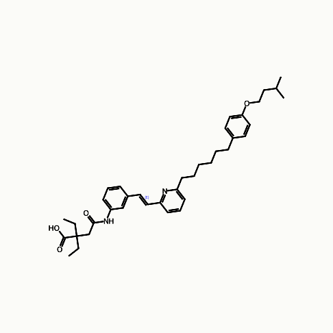 CCC(CC)(CC(=O)Nc1cccc(/C=C/c2cccc(CCCCCCc3ccc(OCCC(C)C)cc3)n2)c1)C(=O)O